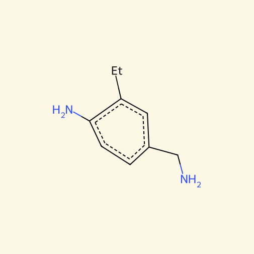 CCc1cc(CN)ccc1N